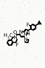 CC1c2ccccc2C(F)CN1C(=O)c1cc(N2CCC2)n2nc(-c3ccc(C4CC4)cc3F)cc2n1